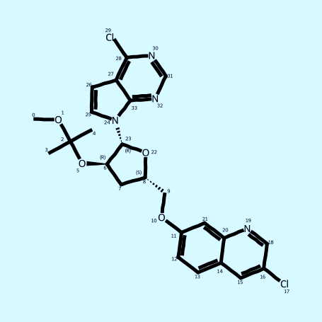 COC(C)(C)O[C@@H]1C[C@@H](COc2ccc3cc(Cl)cnc3c2)O[C@H]1n1ccc2c(Cl)ncnc21